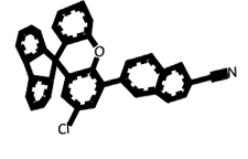 N#Cc1ccc2cc(-c3cc(Cl)cc4c3Oc3ccccc3C43c4ccccc4-c4ccccc43)ccc2c1